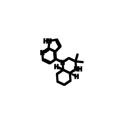 CC1(C)CN(c2ccnc3[nH]ccc23)[C@H]2CCCC[C@@H]2N1